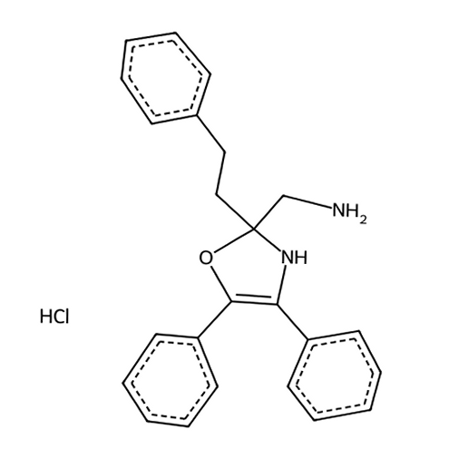 Cl.NCC1(CCc2ccccc2)NC(c2ccccc2)=C(c2ccccc2)O1